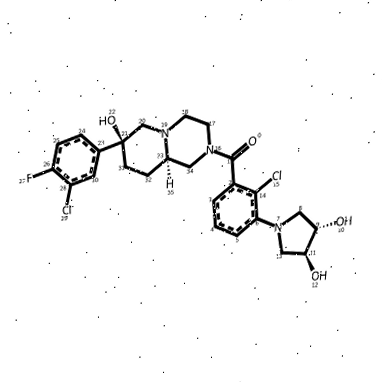 O=C(c1cccc(N2C[C@H](O)[C@@H](O)C2)c1Cl)N1CCN2C[C@@](O)(c3ccc(F)c(Cl)c3)CC[C@@H]2C1